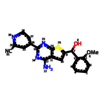 COc1ccccc1C(O)c1cc2c(N)nc(-c3ccnc(C#N)c3)nc2s1